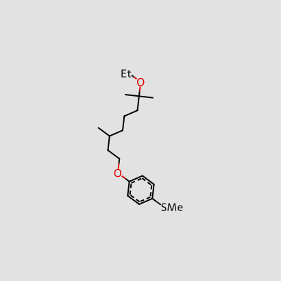 CCOC(C)(C)CCCC(C)CCOc1ccc(SC)cc1